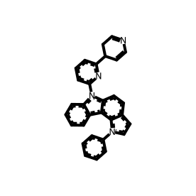 C1=CC(c2cccc(-n3c4ccccc4c4c5c(ccc43)ccn5-c3ccccc3)n2)CC=N1